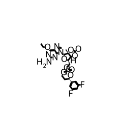 CCOc1nc(N)nc2c1ncn2[C@@H]1O[C@H](CO[P@@]2(=O)OCC[C@@H](c3cc(F)cc(F)c3)O2)[C@H]2OC(=O)O[C@]21C